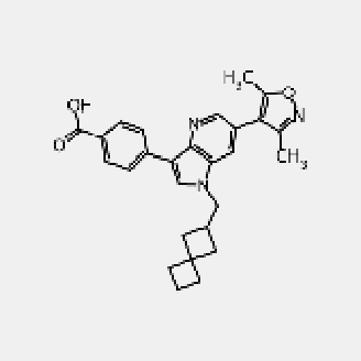 Cc1noc(C)c1-c1cnc2c(-c3ccc(C(=O)O)cc3)cn(CC3CC4(CCC4)C3)c2c1